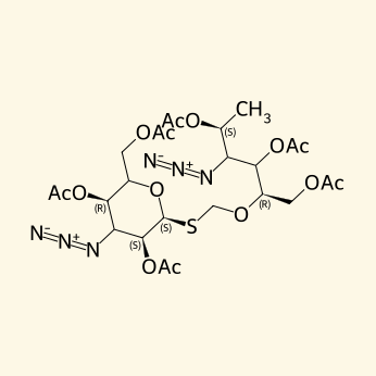 CC(=O)OCC1O[C@@H](SCO[C@H](COC(C)=O)C(OC(C)=O)C(N=[N+]=[N-])[C@H](C)OC(C)=O)[C@@H](OC(C)=O)C(N=[N+]=[N-])[C@H]1OC(C)=O